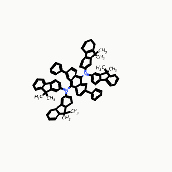 CC1(C)C2=C(C=CCC2)c2ccc(N(c3ccc4c(c3)C(C)(C)c3ccccc3-4)c3c4ccc(-c5ccccc5)cc4c(N(C4=CCC5C(=C4)C4C=CC=CC4C5(C)C)c4ccc5c(c4)C(C)(C)c4ccccc4-5)c4ccc(-c5ccccc5)cc34)cc21